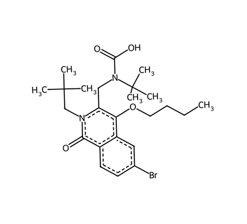 CCCCOc1c(CN(C(=O)O)C(C)(C)C)n(CC(C)(C)C)c(=O)c2ccc(Br)cc12